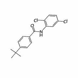 CC(C)(C)c1ccc(C(=O)Nc2cc(Cl)ccc2Cl)cc1